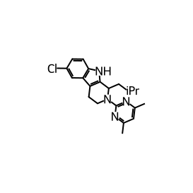 Cc1cc(C)nc(N2CCc3c([nH]c4ccc(Cl)cc34)C2CC(C)C)n1